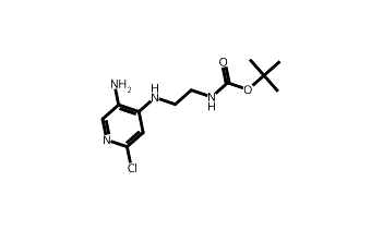 CC(C)(C)OC(=O)NCCNc1cc(Cl)ncc1N